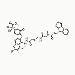 CC[C@@]1(O)C(=O)OCc2c1cc1n(c2=O)Cc2c-1nc1cc(F)c(C)c3c1c2[C@@H](NC(=O)COCNC(=O)CNC(=O)OCC1c2ccccc2-c2ccccc21)CC3